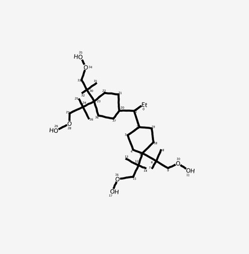 CCC(C1CCC(C(C)(C)COO)(C(C)(C)COO)CC1)C1CCC(C(C)(C)COO)(C(C)(C)COO)CC1